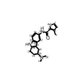 Cc1ccsc1C(=O)Nc1ccc2[nH]c3c(c2c1)CC(N(C)C)CC3